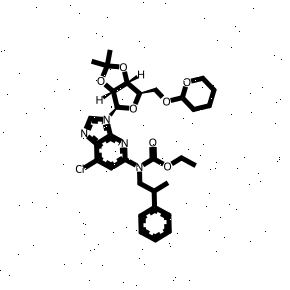 CCOC(=O)N(CC(C)c1ccccc1)c1cc(Cl)c2ncn([C@@H]3O[C@H](COC4CCCCO4)[C@H]4OC(C)(C)O[C@H]43)c2n1